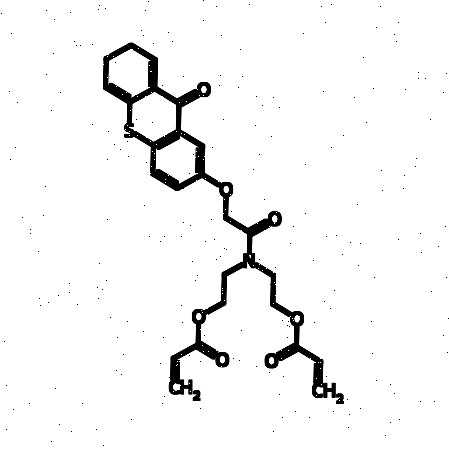 C=CC(=O)OCCN(CCOC(=O)C=C)C(=O)COc1ccc2sc3c(c(=O)c2c1)=CCCC=3